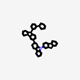 c1ccc(-c2cccc(C3c4ccccc4-c4cc(-c5ccc6c7ccccc7n(-c7ccc8c(c7)Cc7ccccc7-8)c6c5)ccc43)c2)cc1